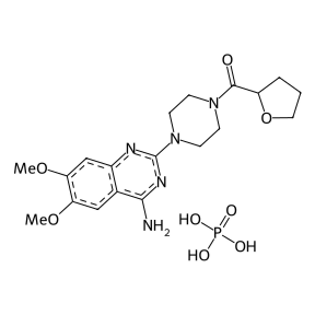 COc1cc2nc(N3CCN(C(=O)C4CCCO4)CC3)nc(N)c2cc1OC.O=P(O)(O)O